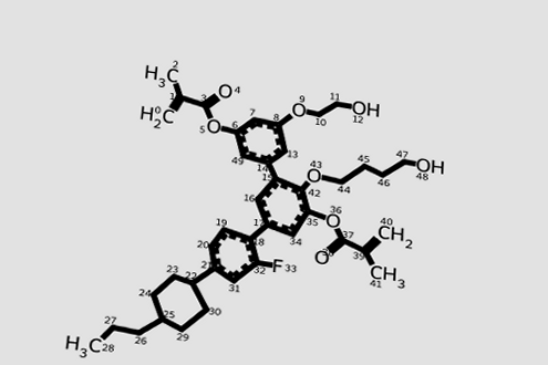 C=C(C)C(=O)Oc1cc(OCCO)cc(-c2cc(-c3ccc(C4CCC(CCC)CC4)cc3F)cc(OC(=O)C(=C)C)c2OCCCCO)c1